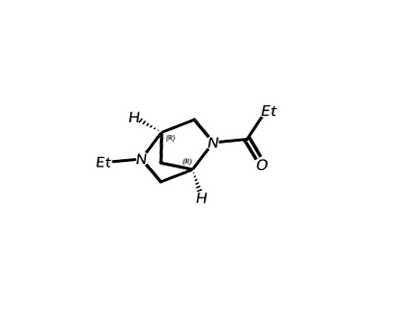 CCC(=O)N1C[C@H]2C[C@@H]1CN2CC